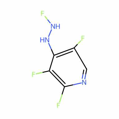 FNNc1c(F)cnc(F)c1F